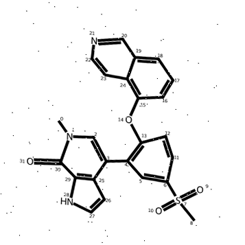 Cn1cc(-c2cc(S(C)(=O)=O)ccc2Oc2cccc3cnccc23)c2cc[nH]c2c1=O